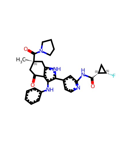 C[C@@]1(C(=O)N2CCCC2)CC(=O)c2c([nH]c(-c3ccnc(NC(=O)[C@@H]4C[C@@H]4F)c3)c2Nc2ccccc2)C1